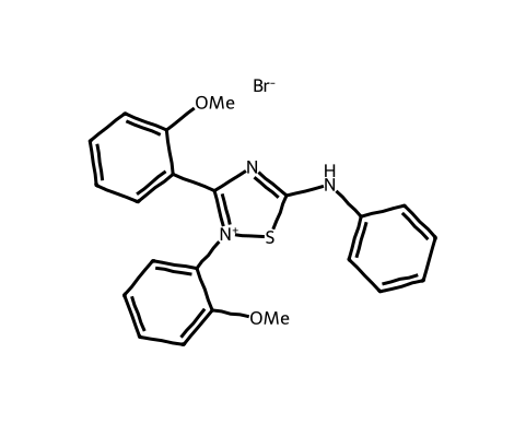 COc1ccccc1-c1nc(Nc2ccccc2)s[n+]1-c1ccccc1OC.[Br-]